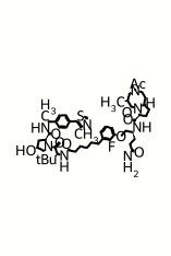 CC(=O)N1CC[C@H]2CC[C@@H](C(=O)N[C@@H](CCC(N)=O)COc3cccc(CCCCCC(=O)N[C@H](C(=O)N4C[C@H](O)C[C@H]4C(=O)N[C@@H](C)c4ccc(-c5scnc5C)cc4)C(C)(C)C)c3F)N2C(=O)[C@@H](C)C1